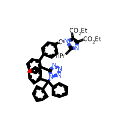 CCCc1nc(C(=O)OCC)c(C(=O)OCC)n1Cc1ccc(-c2ccccc2-c2nnnn2C(c2ccccc2)(c2ccccc2)c2ccccc2)cc1